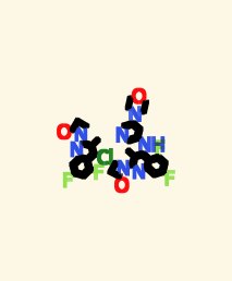 Cc1c(N2CCC2=O)nc2cc(F)cc(F)c2c1Cl.Cc1c(N2CCC2=O)nc2cc(F)cc(F)c2c1Nc1cncc(N2CCOCC2)c1